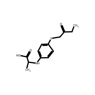 CCC(=O)CSc1ccc(NC(C)C(=O)O)cc1